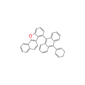 C1=CC(c2c3ccccc3c(-c3cccc4oc5c6ccccc6ccc5c34)c3ccccc23)=CCC1